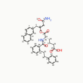 NC(=O)C[C@H](Cc1ccc2ccccc2c1)OC(=O)[C@H](CCCC(=O)O)NC(=O)c1ccccc1CCc1ccccc1